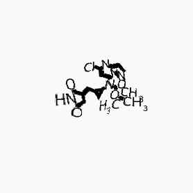 CC(C)(C)OC(=O)N(c1cc(Cl)nc2ccnn12)C1CC1C=C1CC(=O)NC1=O